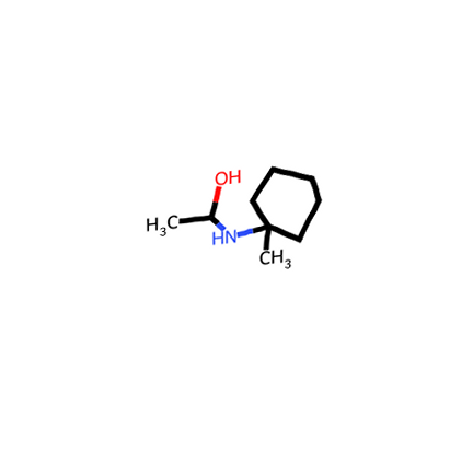 CC(O)NC1(C)CCCCC1